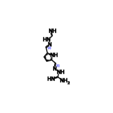 N=CN/N=C/c1ccc(/C=N/NC(=N)N)[nH]1